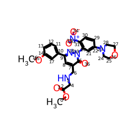 COC(=O)CNCc1cc(-c2cccc(OC)c2)nn(-c2cc(N3CCOCC3)ccc2[N+](=O)[O-])c1=O